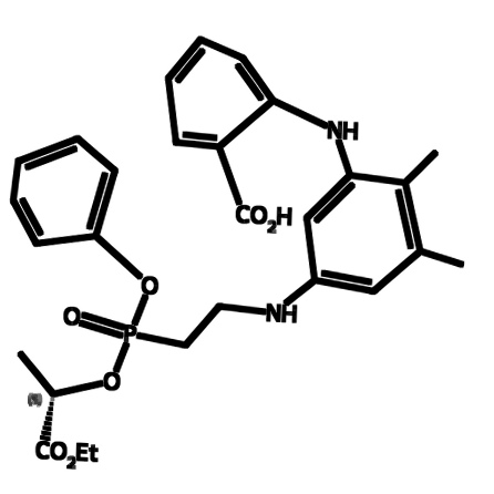 CCOC(=O)[C@H](C)OP(=O)(CCNc1cc(C)c(C)c(Nc2ccccc2C(=O)O)c1)Oc1ccccc1